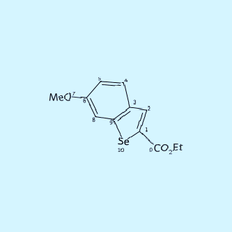 CCOC(=O)c1cc2ccc(OC)cc2[se]1